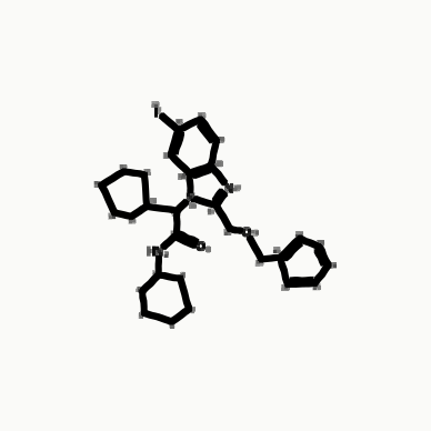 O=C(NC1CCCCC1)C(C1CCCCC1)n1c(COCc2ccccc2)nc2ccc(F)cc21